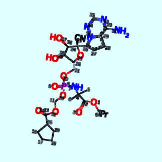 CC(C)OC(=O)C(C)(C)N[P@](=O)(OCOC(=O)C1CCCC1)OC[C@H]1O[C@@](C#N)(c2ccc3c(N)ncnn23)[C@H](O)[C@@H]1O